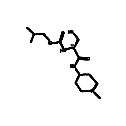 CC(C)COC(=O)N[C@@H](CS)C(=O)NC1CCN(C)CC1